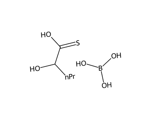 CCCC(O)C(O)=S.OB(O)O